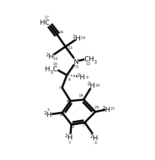 [2H]c1c([2H])c([2H])c(C[C@@]([2H])(C)N(C)C([2H])([2H])C#C)c([2H])c1[2H]